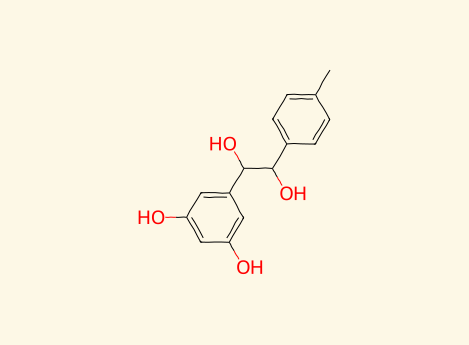 Cc1ccc(C(O)C(O)c2cc(O)cc(O)c2)cc1